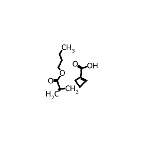 C=C(C)C(=O)OCCCC.O=C(O)C1=CCC1